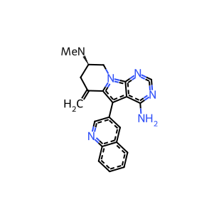 C=C1C[C@@H](NC)Cn2c1c(-c1cnc3ccccc3c1)c1c(N)ncnc12